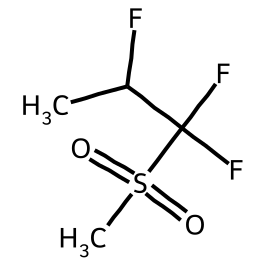 CC(F)C(F)(F)S(C)(=O)=O